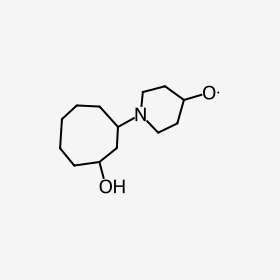 [O]C1CCN(C2CCCCCC(O)C2)CC1